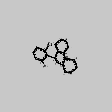 CCc1[c]ccc(CC)c1-c1cc2ccccc2c2ccccc12